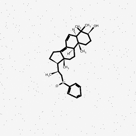 C[C@H](C[S+]([O-])c1ccccc1)[C@H]1CCC2=C3C=C[C@H]4C(C)(C)[C@@H](O)CC[C@]4(C)[C@H]3CC[C@@]21C